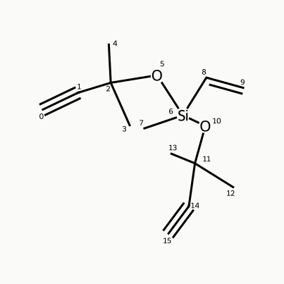 C#CC(C)(C)O[Si](C)(C=C)OC(C)(C)C#C